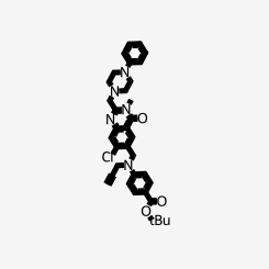 C#CCN(Cc1cc2c(=O)n(C)c(CN3CCN(c4ccccc4)CC3)nc2cc1Cl)c1ccc(C(=O)OC(C)(C)C)cc1